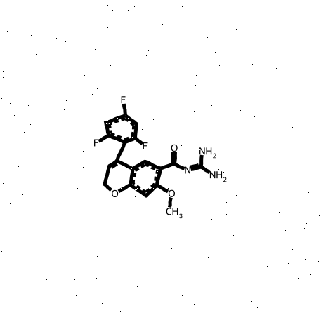 COc1cc2c(cc1C(=O)N=C(N)N)C(c1c(F)cc(F)cc1F)=CCO2